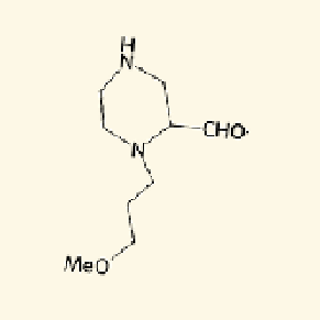 COCCCN1CCNCC1[C]=O